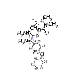 CC(C1CC1)N(C)C(=O)OC/C(=C(/N)c1ccc(OC2CCCCC2)cc1)N(C)N